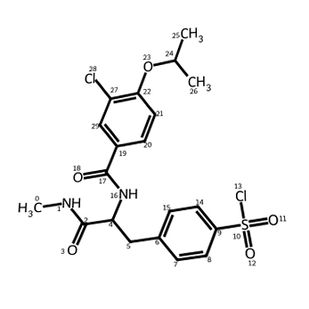 CNC(=O)C(Cc1ccc(S(=O)(=O)Cl)cc1)NC(=O)c1ccc(OC(C)C)c(Cl)c1